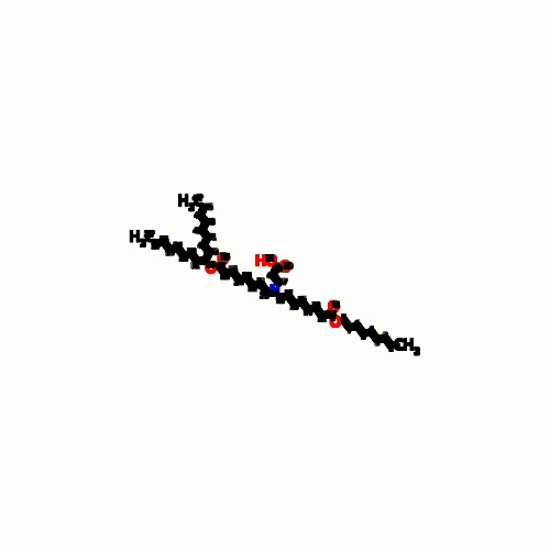 CCCCCCCCCOC(=O)CCCCCCCN(CCCCCCCC(=O)OC(CCCCCCCC)CCCCCCCC)CCC(=O)O